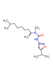 C=C(CCCCCC(C)C)N(C)C(=O)Nc1cc(C(C)C)on1